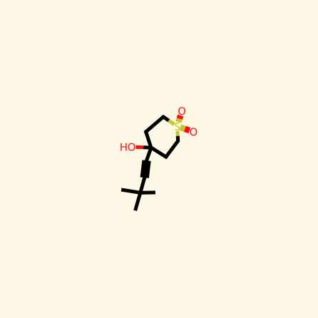 CC(C)(C)C#CC1(O)CCS(=O)(=O)CC1